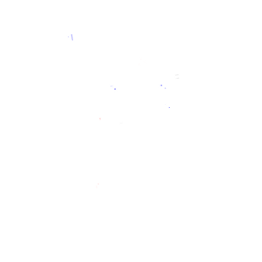 CCn1nc(-c2ccccc2)c(C(=O)OCC(=O)OCc2ccccc2)c(Nc2cccc3ncccc23)c1=O